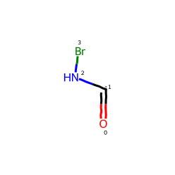 O=[C]NBr